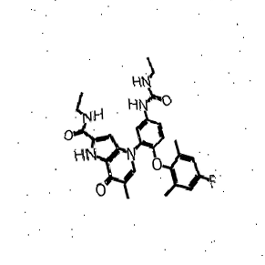 CCNC(=O)Nc1ccc(Oc2c(C)cc(F)cc2C)c(-n2cc(C)c(=O)c3[nH]c(C(=O)NCC)cc32)c1